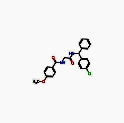 COc1ccc(C(=O)NCC(=O)NC(c2ccccc2)c2ccc(Cl)cc2)cc1